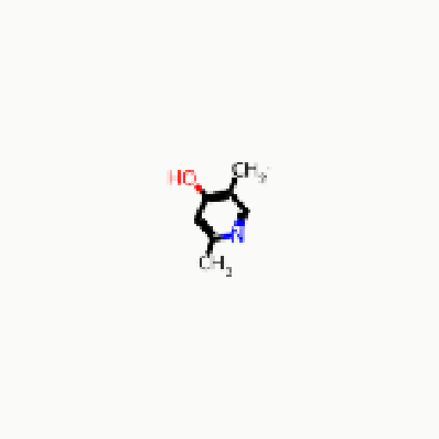 [CH2]c1cnc(C)cc1O